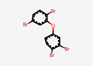 Brc1ccc(Br)c(Oc2ccc(Br)c(Br)c2)c1